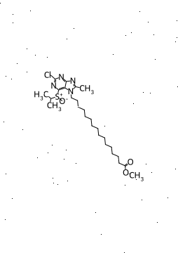 COC(=O)CCCCCCCCCCCCCCCn1c(C)nc2nc(Cl)nc([S+]([O-])C(C)C)c21